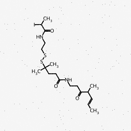 CC=CC(C)C(=O)CCNC(=O)CCC(C)(C)SSCCNC(=O)C(C)I